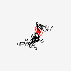 CC(C)CCC[C@@H](C)[C@H]1CC[C@H]2[C@@H]3CC=C4CC(OC(=O)CC(C)CC(=O)O)CC[C@]4(C)[C@H]3CC[C@]12C